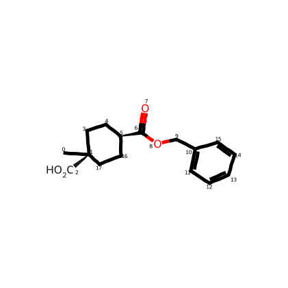 C[C@]1(C(=O)O)CC[C@@H](C(=O)OCc2ccccc2)CC1